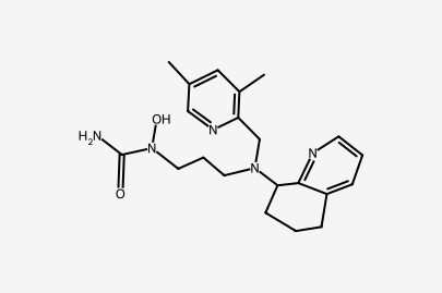 Cc1cnc(CN(CCCN(O)C(N)=O)C2CCCc3cccnc32)c(C)c1